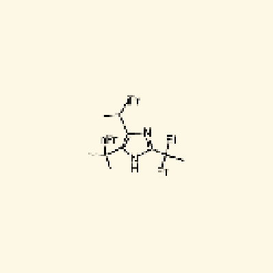 CCCC(C)(C)c1[nH]c(C(C)(CC)CC)nc1C(C)C(C)C